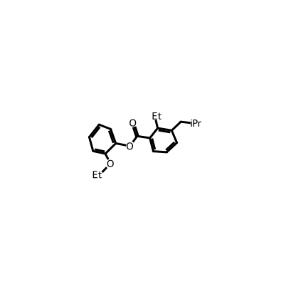 CCOc1ccccc1OC(=O)c1cccc(CC(C)C)c1CC